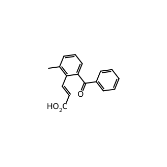 Cc1cccc(C(=O)c2ccccc2)c1/C=C/C(=O)O